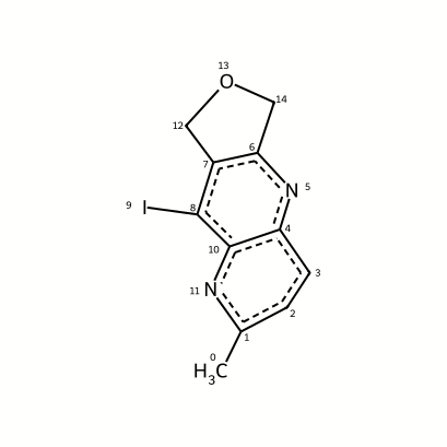 Cc1ccc2nc3c(c(I)c2n1)COC3